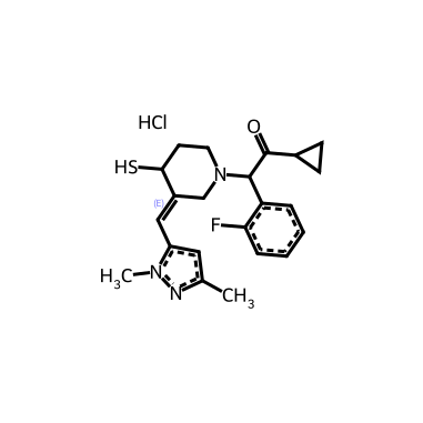 Cc1cc(/C=C2\CN(C(C(=O)C3CC3)c3ccccc3F)CCC2S)n(C)n1.Cl